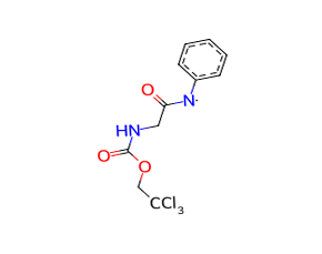 O=C(CNC(=O)OCC(Cl)(Cl)Cl)[N]c1ccccc1